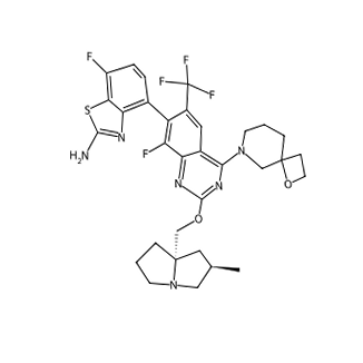 C[C@H]1CN2CCC[C@@]2(COc2nc(N3CCCC4(CCO4)C3)c3cc(C(F)(F)F)c(-c4ccc(F)c5sc(N)nc45)c(F)c3n2)C1